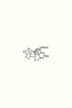 CCCCC[S+]([O-])C1=CC(=O)C=C2CCC3C(C(=O)C[C@@]4(C)C3CC[C@H]4Cl)[C@]21C